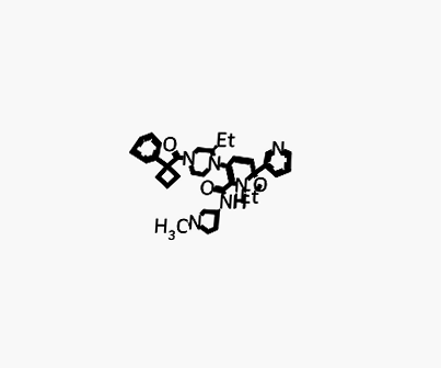 CCOC1(c2cccnc2)C=CC(N2CCN(C(=O)C3(c4ccccc4)CCC3)C[C@H]2CC)=C(C(=O)N[C@@H]2CCN(C)C2)N1